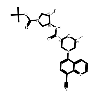 C[C@@H]1CN(c2ccc(C#N)c3ncccc23)C[C@H](C(=O)N[C@H]2CN(C(=O)OC(C)(C)C)C[C@@H]2F)O1